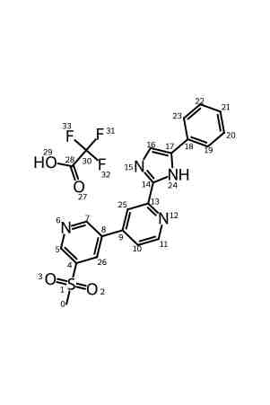 CS(=O)(=O)c1cncc(-c2ccnc(-c3ncc(-c4ccccc4)[nH]3)c2)c1.O=C(O)C(F)(F)F